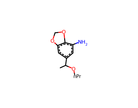 CCCOC(C)c1cc(N)c2c(c1)OCO2